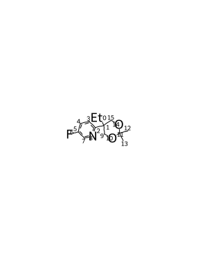 CCC1(c2ccc(F)cn2)COC(C)(C)OC1